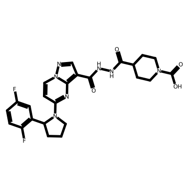 O=C(NNC(=O)C1CCN(C(=O)O)CC1)c1cnn2ccc(N3CCCC3c3cc(F)ccc3F)nc12